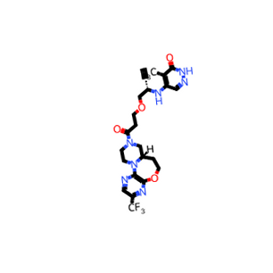 C#C[C@@H](COCCC(=O)N1CCN2c3ncc(C(F)(F)F)nc3OCC[C@H]2C1)Nc1cn[nH]c(=O)c1C(F)(F)F